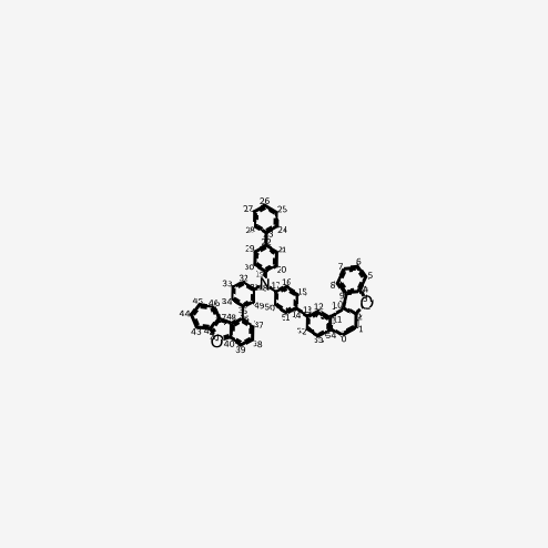 C1=CC2Oc3ccccc3C2c2cc(-c3ccc(N(c4ccc(-c5ccccc5)cc4)c4cccc(-c5cccc6oc7ccccc7c56)c4)cc3)ccc21